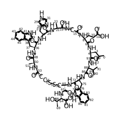 CC(C)C[C@@H]1NC(=O)[C@H](CCC(=O)O)NC(=O)CNC(=O)C(C)NC(=O)[C@H](Cc2c[nH]cn2)NC(=O)[C@H](Cc2c[nH]c3ccccc23)NC(=O)[C@H](C)NC(=O)CCSSC[C@@H](C(=O)N[C@H](C(=O)O)[C@@H](C)O)NC(=O)[C@H](Cc2c[nH]c3ccccc23)NC(=O)C(C(C)C)NC1=O